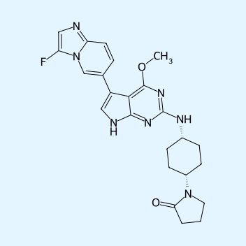 COc1nc(N[C@H]2CC[C@@H](N3CCCC3=O)CC2)nc2[nH]cc(-c3ccc4ncc(F)n4c3)c12